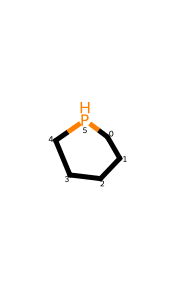 [CH]1CCCCP1